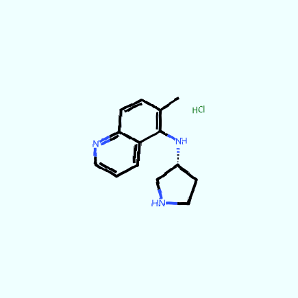 Cc1ccc2ncccc2c1N[C@@H]1CCNC1.Cl